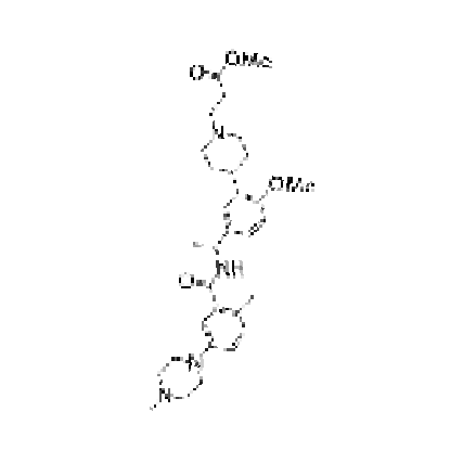 COC(=O)CCN1CCC(c2cc([C@@H](C)NC(=O)c3cc(N4CCN(C)CC4)ccc3C)ccc2OC)CC1